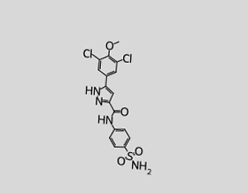 COc1c(Cl)cc(-c2cc(C(=O)Nc3ccc(S(N)(=O)=O)cc3)n[nH]2)cc1Cl